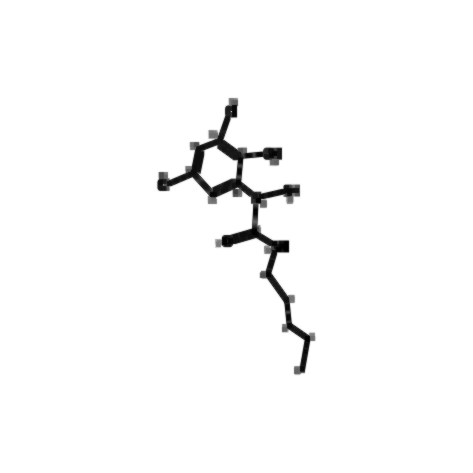 CCCCCNC(=O)N(S)c1cc(Cl)cc(Cl)c1O